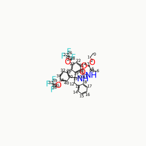 CCOC(=O)[C@@H](C)NC(=O)NC(Cc1ccccc1)(c1cccc(OC(F)(F)F)c1)c1cccc(OC(F)(F)F)c1